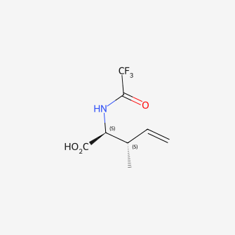 C=C[C@H](C)[C@H](NC(=O)C(F)(F)F)C(=O)O